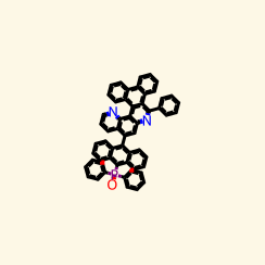 O=P(c1ccccc1)(c1ccccc1)c1c2ccccc2c(-c2cc3nc(-c4ccccc4)c4c5ccccc5c5ccccc5c4c3c3ncccc23)c2ccccc12